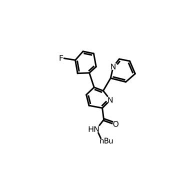 CCCCNC(=O)c1ccc(-c2cccc(F)c2)c(-c2ccccn2)n1